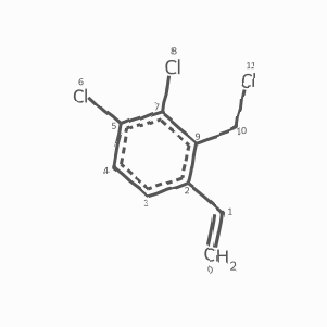 C=Cc1ccc(Cl)c(Cl)c1CCl